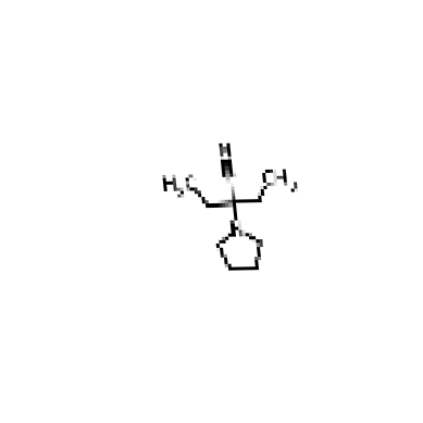 CCC(C#N)(CC)N1CCCC1